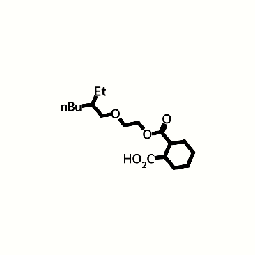 CCCCC(CC)COCCOC(=O)C1CCCCC1C(=O)O